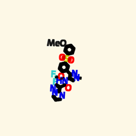 COc1cccc(S(=O)(=O)c2ccc(OC(F)F)c(-c3nn(C)cc3NC(=O)c3cnn4cccnc34)c2)c1